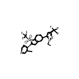 CCn1nc(C(F)(F)F)cc1-c1ccc2c(c1)cc(-c1ccncc1C)n2S(=O)(=O)C(F)(F)F